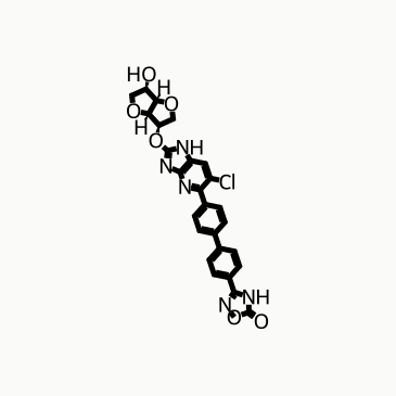 O=c1[nH]c(-c2ccc(-c3ccc(-c4nc5nc(O[C@@H]6CO[C@H]7[C@@H]6OC[C@H]7O)[nH]c5cc4Cl)cc3)cc2)no1